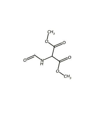 COC(=O)C(N[C]=O)C(=O)OC